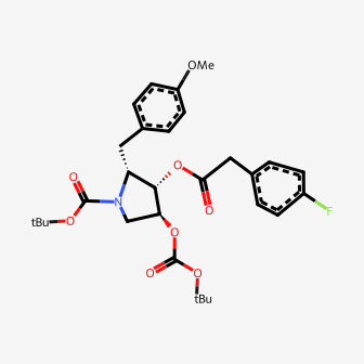 COc1ccc(C[C@@H]2[C@H](OC(=O)Cc3ccc(F)cc3)[C@@H](OC(=O)OC(C)(C)C)CN2C(=O)OC(C)(C)C)cc1